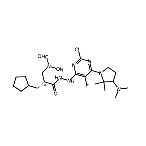 CN(C)C1CCN(c2nc(Cl)nc(NNC(=O)[C@H](CC3CCCC3)CN(O)C=O)c2F)C1(C)C